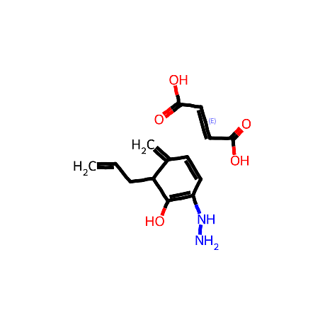 C=CCC1C(=C)C=CC(NN)=C1O.O=C(O)/C=C/C(=O)O